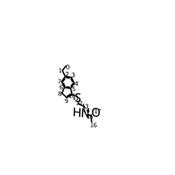 CCc1ccc2c(c1)CC=C2SCCNC(C)=O